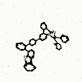 c1ccc(-c2nc3c4ccccc4c4cc(-c5ccc(-c6ccccc6-c6cccc7c6sc6ccccc67)cc5)ccc4n3c2-c2ccccc2)cc1